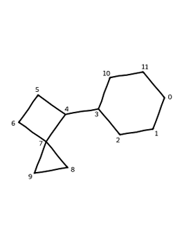 C1CCC(C2CCC23CC3)CC1